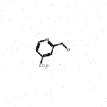 [O]Cc1cc(C(=O)O)ccn1